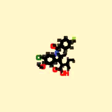 CCC(C)C(C(=O)O)c1c(C)n(C(=O)c2ccc(F)cc2)c2cc(Cl)c(OC)cc12